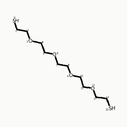 SCCOCCOCCOCCOCCS